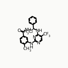 Cc1ccc(C(N)=O)cc1Nc1ncc(C(F)(F)F)c(N[C@@H](C)c2ccccc2)n1